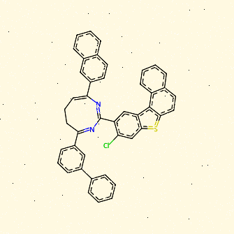 Clc1cc2sc3ccc4ccccc4c3c2cc1C1=N/C(c2ccc3ccccc3c2)=C\CC/C(c2cccc(-c3ccccc3)c2)=N\1